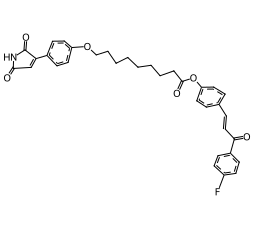 O=C1C=C(c2ccc(OCCCCCCCCC(=O)Oc3ccc(C=CC(=O)c4ccc(F)cc4)cc3)cc2)C(=O)N1